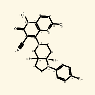 Cn1c(=O)c(C#N)c(N2CC[C@H]3[C@H](CCN3c3ccc(F)cc3)C2)c2nc(Cl)ccc21